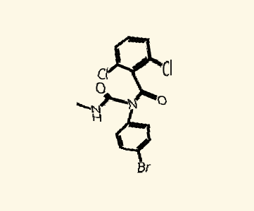 CNC(=O)N(C(=O)c1c(Cl)cccc1Cl)c1ccc(Br)cc1